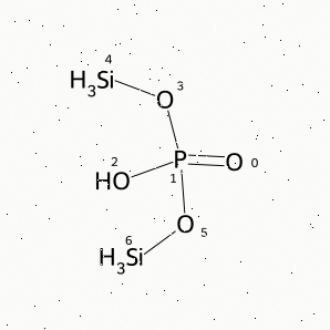 O=P(O)(O[SiH3])O[SiH3]